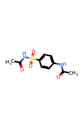 CC(=O)Nc1ccc(S(=O)(=O)NC(C)=O)cc1